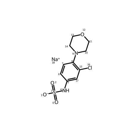 O=S(=O)([O-])Nc1ccc(N2CCOCC2)c(Cl)c1.[Na+]